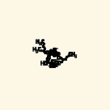 CC(O)C(=O)O.CCCCC(CC)COC(=O)CC(C(=O)OCC(CC)CCCC)S(=O)(=O)[O-].[Na+]